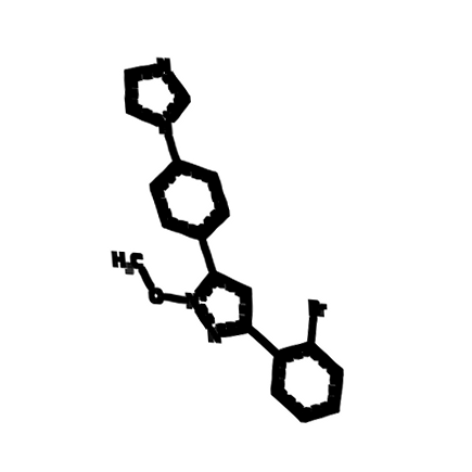 COn1nc(-c2ccccc2Br)cc1-c1ccc(-n2ccnc2)cc1